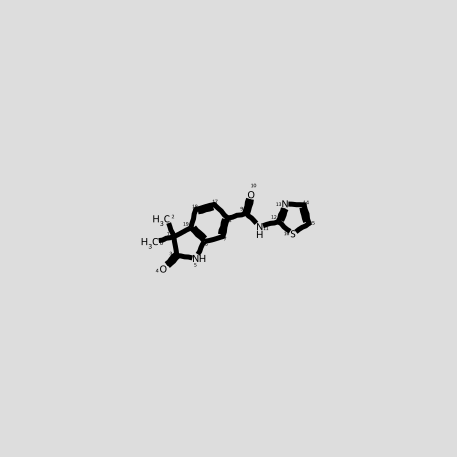 CC1(C)C(=O)Nc2cc(C(=O)Nc3nccs3)ccc21